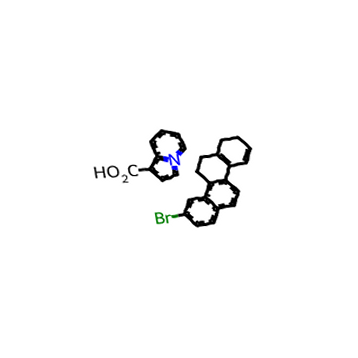 Brc1ccc2ccc3c(c2c1)CCC1=C3C=CCC1.O=C(O)c1ccn2ccccc12